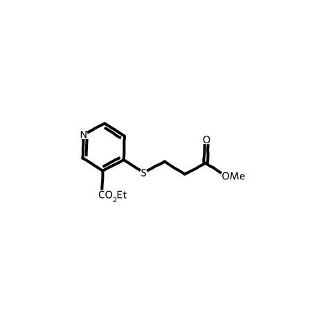 CCOC(=O)c1cnccc1SCCC(=O)OC